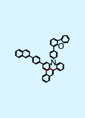 c1cc(-c2ccc(-c3ccc4ccccc4c3)cc2)cc(N(c2ccc(-c3cccc4c3oc3ccccc34)cc2)c2ccccc2-c2ccc3ccccc3c2)c1